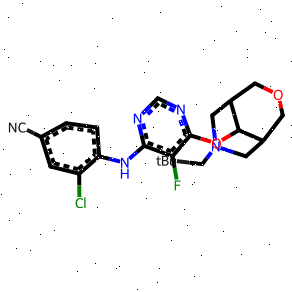 CC(C)(C)CN1CC2COCC(C1)C2Oc1ncnc(Nc2ccc(C#N)cc2Cl)c1F